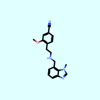 COc1cc(C#N)ccc1CCNCc1cccc2ncn(C)c12